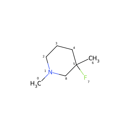 CN1CCCC(C)(F)C1